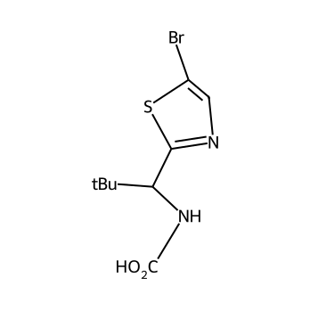 CC(C)(C)C(NC(=O)O)c1ncc(Br)s1